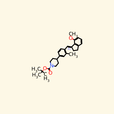 COc1cccc2c1/C(=C/c1ccc(C3CCN(C(=O)OC(C)(C)C)CC3)cc1C)CC2